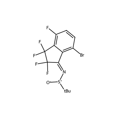 CC(C)(C)[S+]([O-])N=C1c2c(Br)ccc(F)c2C(F)(F)C1(F)F